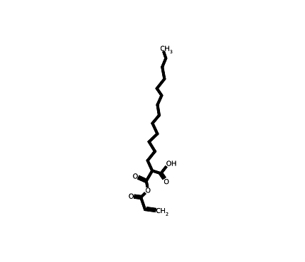 C=CC(=O)OC(=O)C(CCCCCCCCCCCCC)C(=O)O